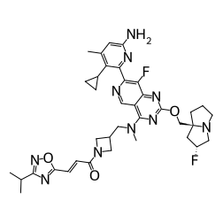 Cc1cc(N)nc(-c2ncc3c(N(C)CC4CN(C(=O)/C=C/c5nc(C(C)C)no5)C4)nc(OC[C@@]45CCCN4C[C@H](F)C5)nc3c2F)c1C1CC1